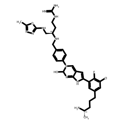 Cc1nnc(NC[C@@H](CCNC(=N)N)NCc2ccc(N3C=c4cc(-c5cc(CCC[C@H](C)N)cc(Cl)c5F)[nH]c4=NC3O)cc2)o1